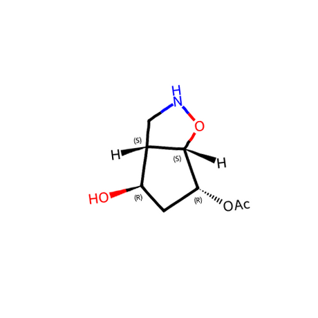 CC(=O)O[C@@H]1C[C@@H](O)[C@@H]2CNO[C@@H]21